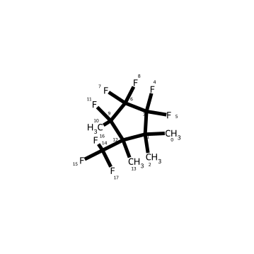 CC1(C)C(F)(F)C(F)(F)C(C)(F)C1(C)C(F)(F)F